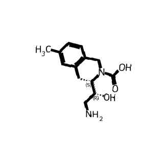 Cc1ccc2c(c1)C[C@@H]([C@H](O)CN)N(C(=O)O)C2